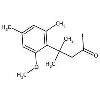 COc1cc(C)cc(C)c1C(C)(C)CC(=O)I